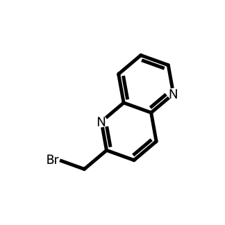 BrCc1ccc2ncccc2n1